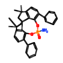 CC1(C)CC23CC(C)(C)c4ccc(-c5ccccc5)c(c42)OP(N)(=O)Oc2c(-c4ccccc4)ccc1c23